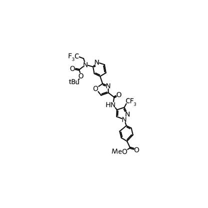 COC(=O)c1ccc(-n2cc(NC(=O)c3coc(-c4ccnc(N(CC(F)(F)F)C(=O)OC(C)(C)C)c4)n3)c(C(F)(F)F)n2)cc1